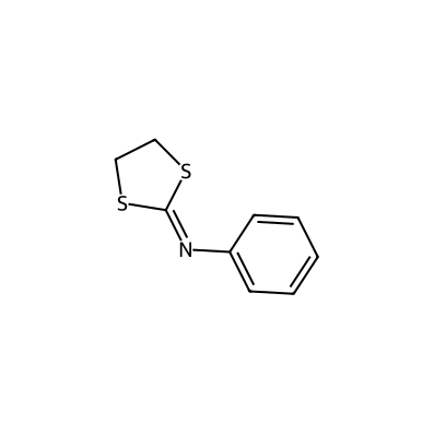 c1ccc(N=C2SCCS2)cc1